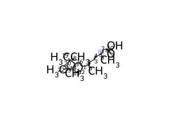 CC(=CC=C/C(C)=C/C(=O)O)c1ccc2c(c1)C(C)(C)CC2(C)C